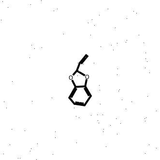 C=[C]C1Oc2ccccc2O1